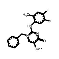 COc1cn(Cc2ccccc2)c(Nc2cc(F)c(Cl)cc2C)nc1=O